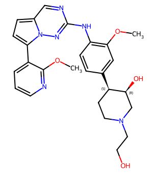 COc1cc([C@@H]2CCN(CCO)C[C@@H]2O)ccc1Nc1ncc2ccc(-c3cccnc3OC)n2n1